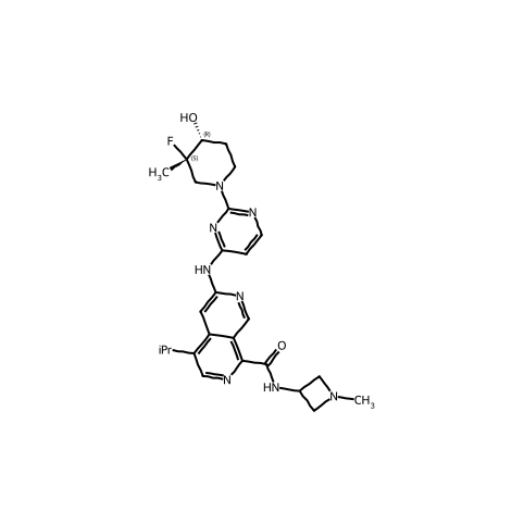 CC(C)c1cnc(C(=O)NC2CN(C)C2)c2cnc(Nc3ccnc(N4CC[C@@H](O)[C@@](C)(F)C4)n3)cc12